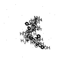 CC(C)C[C@H](NC(=O)CNC(=O)[C@H](Cc1ccccc1)NC(=O)[C@H](CO)NC(=O)[C@H](CC(N)=O)NC(=O)[C@H](Cc1c[nH]c2ccccc12)NC(=O)[C@H](C)NC(=O)[C@@H](N)Cc1ccc(O)cc1)C(=O)N[C@@H](CCCNC(=N)N)C(=O)N[C@@H](Cc1ccccc1)C(=O)O